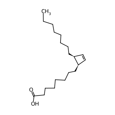 CCCCCCCC[C@H]1C=C[C@H]1CCCCCCCC(=O)O